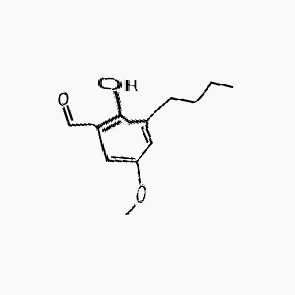 CCCCc1cc(OC)cc(C=O)c1O